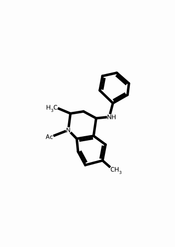 CC(=O)N1c2ccc(C)cc2C(Nc2ccccc2)CC1C